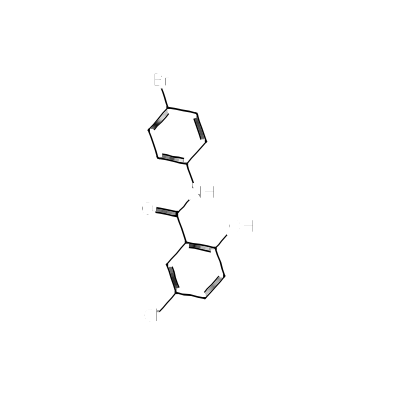 O=C(Nc1ccc(Br)cc1)c1cc(Cl)ccc1O